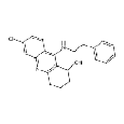 OC1CCCc2nc3cc(Cl)ccc3c(NCCc3ccccc3)c21